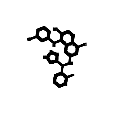 Cc1ncccc1[C@H](Nc1cc(Cl)c2ncc(C#N)c(Nc3cccc(Cl)c3)c2c1)c1c[nH]nn1